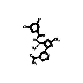 Cc1nc([C@H](C)NC(=O)c2cc(Cl)cc(Cl)c2)n(-c2cc(C(N)=O)ncn2)n1